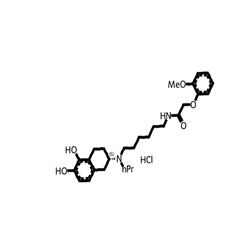 CCCN(CCCCCCNC(=O)COc1ccccc1OC)[C@H]1CCc2c(ccc(O)c2O)C1.Cl